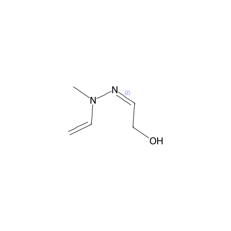 C=CN(C)/N=C\CO